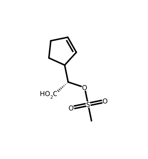 CS(=O)(=O)O[C@H](C(=O)O)C1C=CCC1